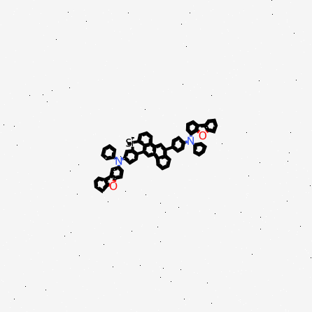 C[Si]1(C)c2cc(N(c3ccccc3)c3ccc4oc5ccccc5c4c3)ccc2-c2cc3c4ccccc4c(-c4ccc(N(c5ccccc5)c5cccc6c5oc5ccccc56)cc4)cc3c3cccc1c23